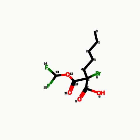 CCCCCC(Br)(C(=O)O)C(=O)OC(F)F